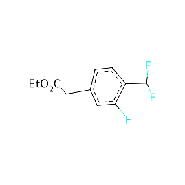 CCOC(=O)Cc1ccc(C(F)F)c(F)c1